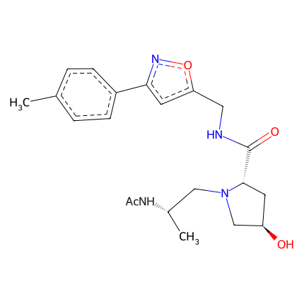 CC(=O)N[C@@H](C)CN1C[C@H](O)C[C@H]1C(=O)NCc1cc(-c2ccc(C)cc2)no1